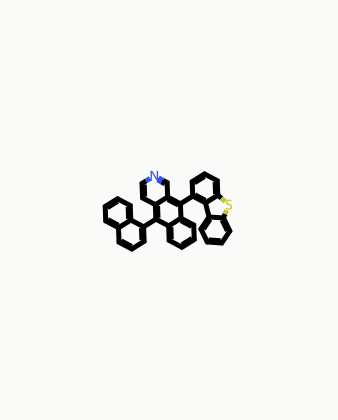 c1ccc2c(-c3c4ccccc4c(-c4cccc5sc6ccccc6c45)c4cnccc34)cccc2c1